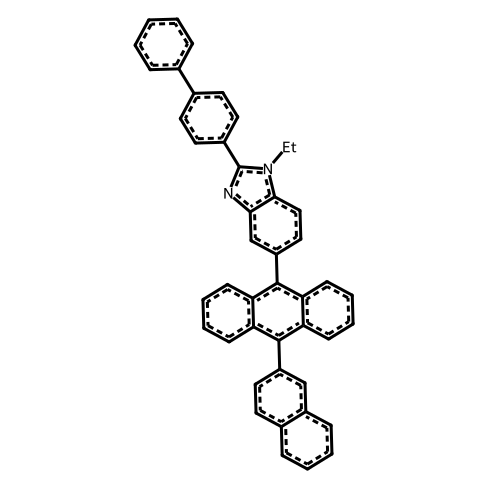 CCn1c(-c2ccc(-c3ccccc3)cc2)nc2cc(-c3c4ccccc4c(-c4ccc5ccccc5c4)c4ccccc34)ccc21